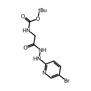 CC(C)(C)OC(=O)NCC(=O)NNc1ccc(Br)cn1